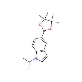 CC(C)n1ccc2cc(B3OC(C)(C)C(C)(C)O3)ccc21